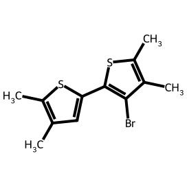 Cc1cc(-c2sc(C)c(C)c2Br)sc1C